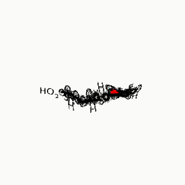 C[C@]12C=CC(=O)C=C1[C@@H](F)C[C@H]1[C@@H]3C[C@H]4O[C@@H](c5ccc(Sc6cccc(NC(=O)CCOCCOCCNC(=O)C(S)CC(=O)O)c6)cc5)O[C@@]4(C(=O)CO)[C@@]3(C)C[C@H](O)[C@@]12F